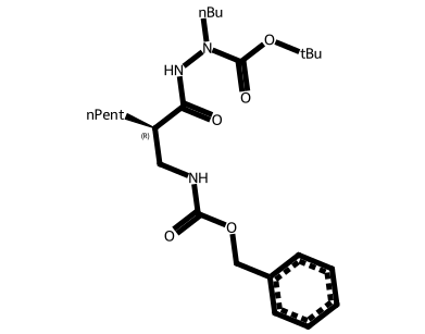 CCCCC[C@H](CNC(=O)OCc1ccccc1)C(=O)NN(CCCC)C(=O)OC(C)(C)C